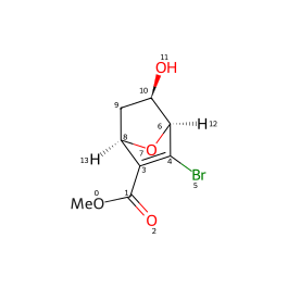 COC(=O)C1=C(Br)[C@H]2O[C@@H]1C[C@H]2O